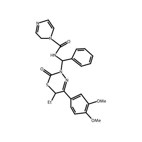 CCC1SC(=O)N(C(NC(=O)N2C=CN=CC2)c2ccccc2)N=C1c1ccc(OC)c(OC)c1